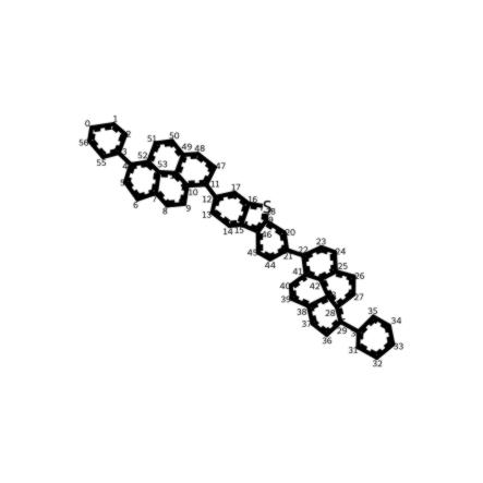 c1ccc(-c2ccc3ccc4c(-c5ccc6c(c5)sc5cc(-c7ccc8ccc9c(-c%10ccccc%10)ccc%10ccc7c8c%109)ccc56)ccc5ccc2c3c54)cc1